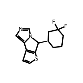 FC1(F)CCC[C@@H](C2c3sccc3-c3cncn32)C1